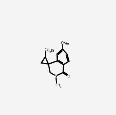 CCOC(=O)C1CC12CN(C)C(=O)c1ccc(OC)cc12